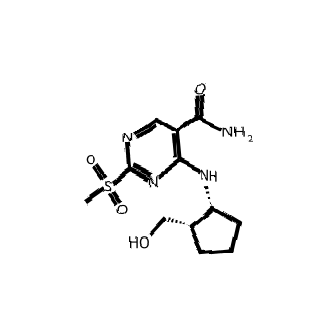 CS(=O)(=O)c1ncc(C(N)=O)c(N[C@@H]2CCC[C@@H]2CO)n1